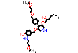 CCCC(O)CO[C@@H]1CNC[C@H](OCc2ccc(O)c(NCCCOC)c2)[C@H]1c1ccc(COCCCOC)cc1